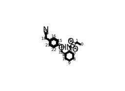 CCS(=O)(=O)N[C@@H]1CCCC[C@H]1COc1ccc(CC#N)cc1